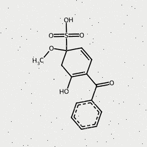 COC1(S(=O)(=O)O)C=CC(C(=O)c2ccccc2)=C(O)C1